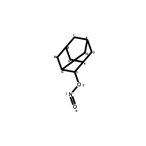 O=NOC1C2CC3CC(C2)CC1C3